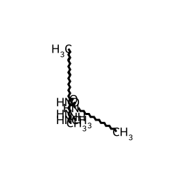 CCC/C=C/CCC/C=C/CCCCCCCC(=O)NC(CCNC(NC)NC)C(=O)NCCCCCCCCCCCCCCCC